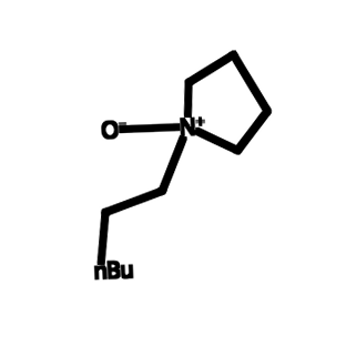 CCCCCC[N+]1([O-])CCCC1